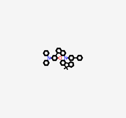 CC1(C)c2ccccc2-c2c(N(c3ccc(-c4ccccc4)cc3)c3ccc4cccc5c4c3Oc3ccc(N(c4ccccc4)c4ccccc4)cc3-5)cccc21